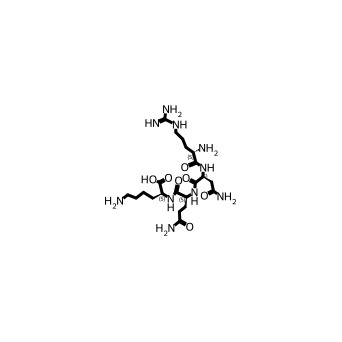 N=C(N)NCCC[C@H](N)C(=O)N[C@@H](CC(N)=O)C(=O)N[C@@H](CCC(N)=O)C(=O)N[C@@H](CCCCN)C(=O)O